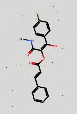 CC(C)(C)NC(=O)/C(OC(=O)C=Cc1ccccc1)=C(/O)c1ccc(Cl)cc1